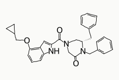 O=C(c1cc2c(OCC3CC3)cccc2[nH]1)N1CC(=O)N(Cc2ccccc2)[C@@H](Cc2ccccc2)C1